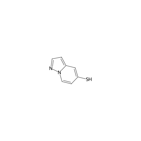 Sc1ccn2nccc2c1